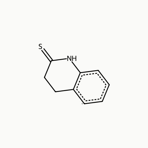 S=C1CCc2[c]cccc2N1